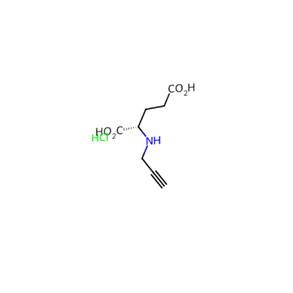 C#CCN[C@@H](CCC(=O)O)C(=O)O.Cl